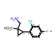 NCC1(C(=O)O)CC1c1ccc(F)cc1F